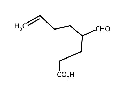 C=CCCC(C=O)CCC(=O)O